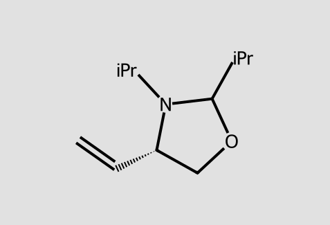 C=C[C@H]1COC(C(C)C)N1C(C)C